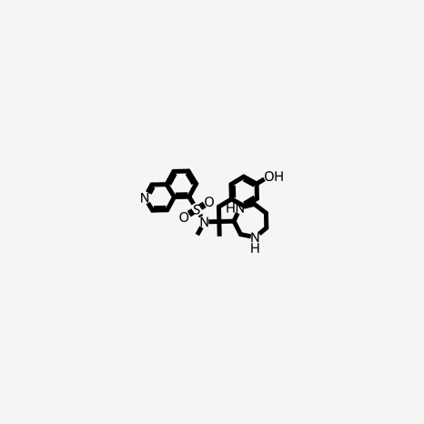 CN(C(C)(Cc1ccc(O)cc1)C1CNCCCN1)S(=O)(=O)c1cccc2cnccc12